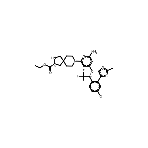 CCOC(=O)[C@@H]1CC2(CCN(c3cc(O[C@H](c4ccc(Cl)cc4-c4cnc(C)s4)C(F)(F)F)nc(N)n3)CC2)CN1